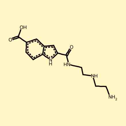 NCCNCCNC(=O)c1cc2cc(C(=O)O)ccc2[nH]1